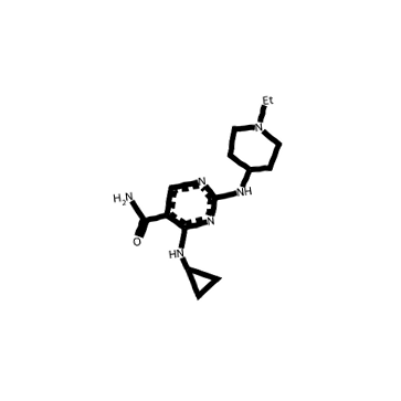 CCN1CCC(Nc2ncc(C(N)=O)c(NC3CC3)n2)CC1